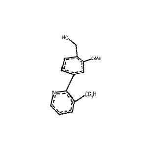 COc1cc(-c2ncccc2C(=O)O)ccc1CO